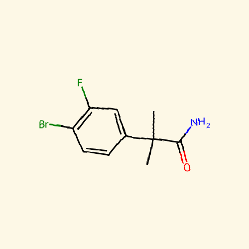 CC(C)(C(N)=O)c1ccc(Br)c(F)c1